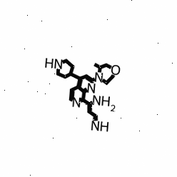 CC1COCCN1c1cc(C2CCNCC2)c2ccnc(/C(N)=C/C=N)c2n1